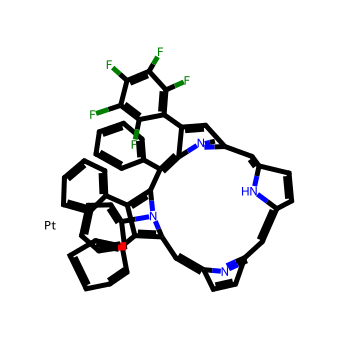 Fc1c(F)c(F)c(C2=Cc3cc4ccc(cc5nc(cc6c(-c7ccccc7)c(-c7ccccc7)c(c(-c7ccccc7)c2n3)n6-c2ccccc2)C=C5)[nH]4)c(F)c1F.[Pt]